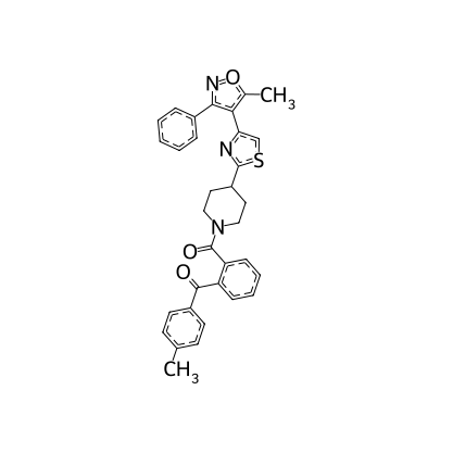 Cc1ccc(C(=O)c2ccccc2C(=O)N2CCC(c3nc(-c4c(-c5ccccc5)noc4C)cs3)CC2)cc1